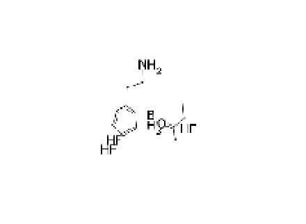 B.CCC(C)=O.F.F.F.NCCc1ccccc1